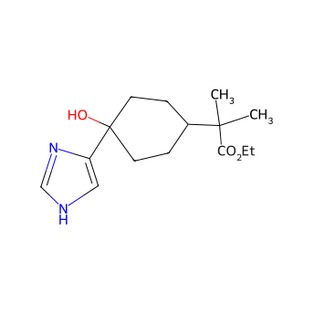 CCOC(=O)C(C)(C)C1CCC(O)(c2c[nH]cn2)CC1